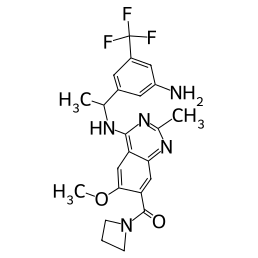 COc1cc2c(NC(C)c3cc(N)cc(C(F)(F)F)c3)nc(C)nc2cc1C(=O)N1CCC1